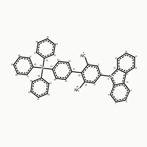 N#Cc1cc(-n2c3ccccc3c3ccccc32)cc(C#N)c1-c1ccc([Si](c2ccccc2)(c2ccccc2)c2ccccc2)cc1